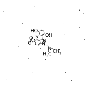 CCN(CC)CCn1nc2c3c(c([N+](=O)[O-])ccc31)Sc1c(O)ccc(O)c1-2